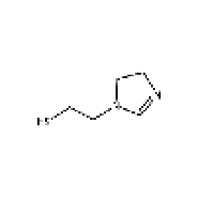 SCCN1C=NCC1